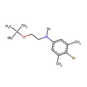 CC(=O)N(CCO[Si](C)(C)C(C)(C)C)c1cc(C)c(Br)c(C)c1